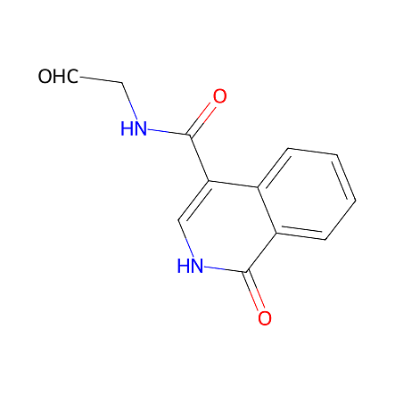 O=CCNC(=O)c1c[nH]c(=O)c2ccccc12